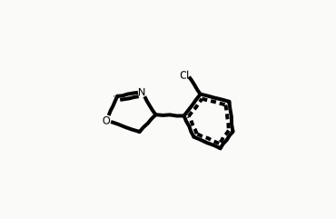 Clc1ccccc1C1CO[C]=N1